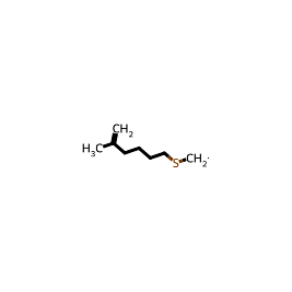 [CH2]SCCCCC(=C)C